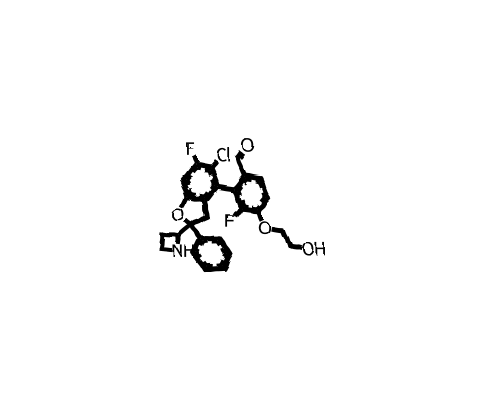 O=Cc1ccc(OCCO)c(F)c1-c1c(Cl)c(F)cc2c1CC(c1ccccc1)(C1CCN1)O2